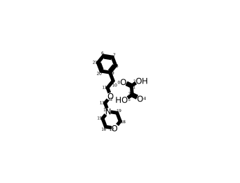 O=C(O)C(=O)O.c1ccc(CCOCN2CCOCC2)cc1